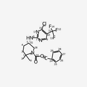 CC1(C)CC[C@H](Nc2ncc(C(F)(F)F)c(Cl)n2)CN1C(=O)OCc1ccccc1